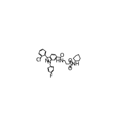 O=C(NCCS(=O)(=O)NC1CCCCC1)c1ccc2c(-c3ccccc3Cl)nn(-c3ccc(F)cc3)c2c1